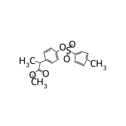 COC(=O)C(C)c1ccc(OS(=O)(=O)c2ccc(C)cc2)cc1